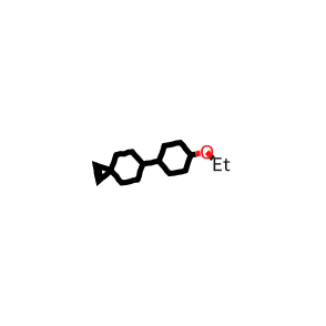 CCOC1CCC(C2CCC3(C=C3)CC2)CC1